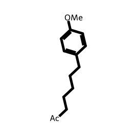 COc1ccc(CCCCCC(C)=O)cc1